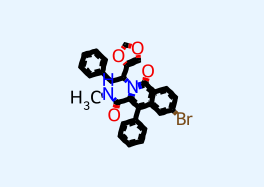 CNC(=O)c1c(-c2ccccc2)c2cc(Br)ccc2c(=O)n1C(Cc1ccccc1)C1=COCO1